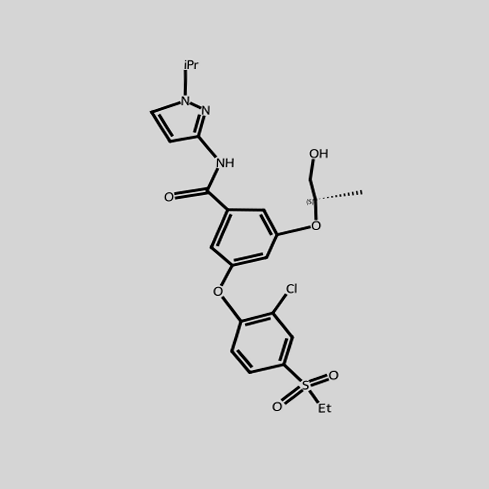 CCS(=O)(=O)c1ccc(Oc2cc(O[C@@H](C)CO)cc(C(=O)Nc3ccn(C(C)C)n3)c2)c(Cl)c1